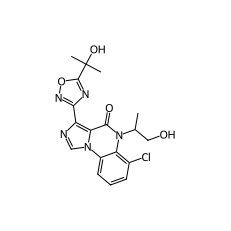 CC(CO)n1c(=O)c2c(-c3noc(C(C)(C)O)n3)ncn2c2cccc(Cl)c21